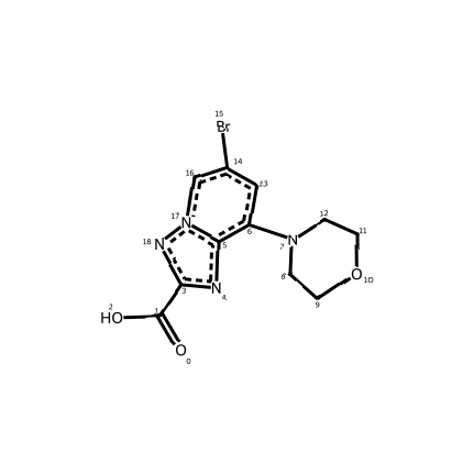 O=C(O)c1nc2c(N3CCOCC3)cc(Br)cn2n1